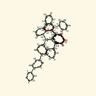 c1ccc(-c2ccc(-c3ccc(N(c4c(-c5ccccc5)cccc4-c4ccccc4)c4cccc5c4c(-c4ccccc4)c(-c4ccccc4)c4ccccc45)cc3)cc2)cc1